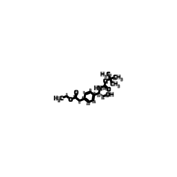 CCOC(=O)Cc1ccc([C@@H](CO)NC(=O)OC(C)(C)C)cc1